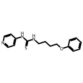 S=C(NCCCCOc1ccccc1)Nc1ccncc1